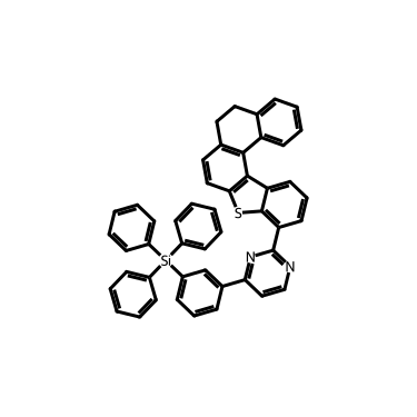 c1ccc([Si](c2ccccc2)(c2ccccc2)c2cccc(-c3ccnc(-c4cccc5c4sc4ccc6c(c45)-c4ccccc4CC6)n3)c2)cc1